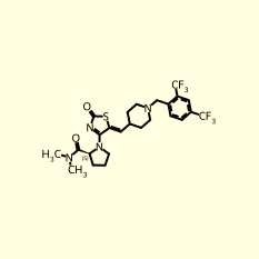 CN(C)C(=O)[C@@H]1CCCN1C1=NC(=O)SC1=CC1CCN(Cc2ccc(C(F)(F)F)cc2C(F)(F)F)CC1